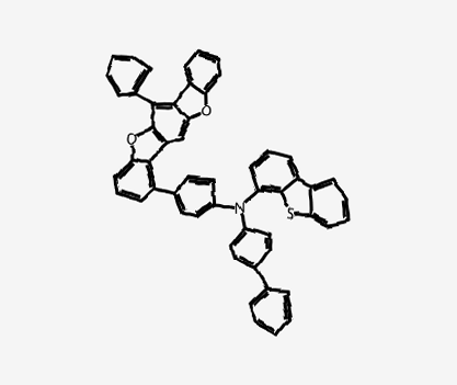 c1ccc(-c2ccc(N(c3ccc(-c4cccc5oc6c(-c7ccccc7)c7c(cc6c45)oc4ccccc47)cc3)c3cccc4c3sc3ccccc34)cc2)cc1